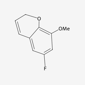 COc1cc(F)cc2c1OCC=C2